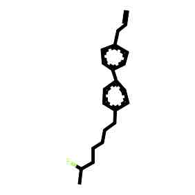 C=CCc1ccc(-c2ccc(CCCCCC(C)F)cc2)cc1